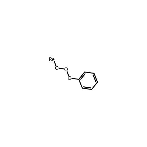 [Re][O]OOc1ccccc1